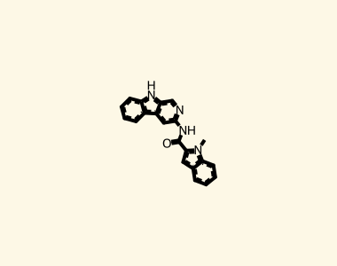 Cn1c(C(=O)Nc2cc3c(cn2)[nH]c2ccccc23)cc2ccccc21